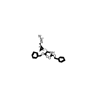 [N-]=[N+]=NC[C@@H]1C[C@H]1C[C@H](NC(=O)OCc1ccccc1)C(=O)OCc1ccccc1